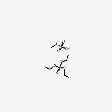 CCOP(=O)(OCC)OCC.COS(=O)(=O)O